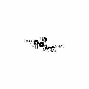 CC(=O)NCCCC[C@H](NC(C)=O)C(=O)Nc1ccc(-c2ccc(C(=O)O)c(=O)[nH]2)cc1.c1c[nH]cn1